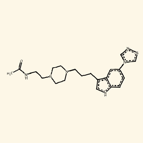 CC(=O)NCCN1CCN(CCCc2c[nH]c3ccc(-n4cnnc4)cc23)CC1